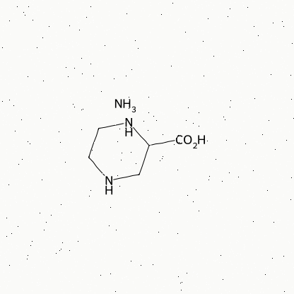 N.O=C(O)C1CNCCN1